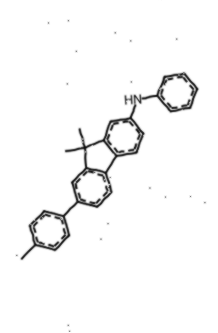 Cc1ccc(-c2ccc3c(c2)C(C)(C)c2cc(Nc4ccccc4)ccc2-3)cc1